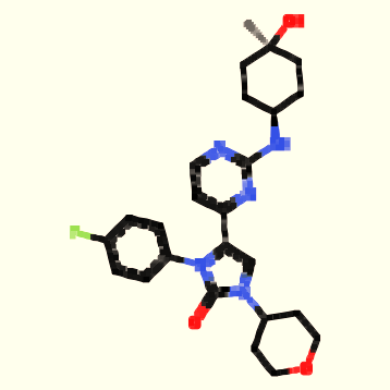 C[C@]1(O)CC[C@@H](Nc2nccc(-c3cn(C4CCOCC4)c(=O)n3-c3ccc(F)cc3)n2)CC1